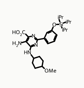 COC1CCC(Nc2nc(-c3cccc(O[Si](C(C)C)(C(C)C)C(C)C)c3)nc(C(=O)O)c2N)CC1